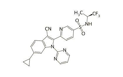 C[C@H](NS(=O)(=O)c1ccc(-c2c(C#N)c3ccc(C4CC4)cc3n2-c2ncccn2)nc1)C(F)(F)F